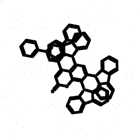 O=c1cc(-c2nc(-c3ccccc3)nc(-c3ccccc3)n2)c2c(-n3c4ccccc4c4ccccc43)cc(-n3c4ccccc4c4ccccc43)c(-n3c4ccccc4c4ccccc43)c2o1